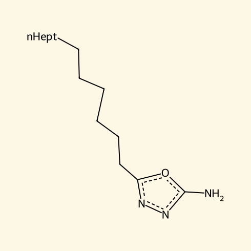 CCCCCCCCCCCCCc1nnc(N)o1